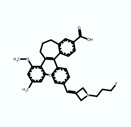 COc1cc(C)cc(C)c1C1=C(c2ccc(C=C3CN(CCCF)C3)cc2)c2ccc(C(=O)O)cc2CCC1